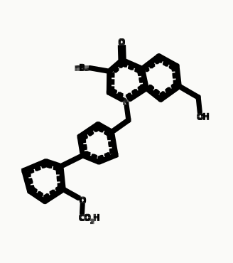 CCCCc1cn(Cc2ccc(-c3ccccc3OC(=O)O)cc2)c2cc(CO)ccc2c1=O